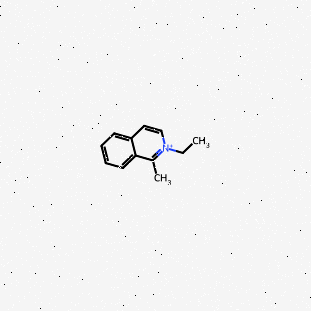 CC[n+]1ccc2ccccc2c1C